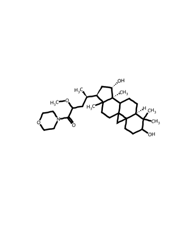 COC(C[C@@H](C)[C@H]1C[C@H](O)[C@@]2(C)C3CC[C@H]4C(C)(C)C(O)CCC45CC35CCC12C)C(=O)N1CCOCC1